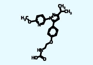 COc1ccc(-n2nc(C(C)C)cc2-c2ccc(OCCNC(=O)O)cc2)cn1